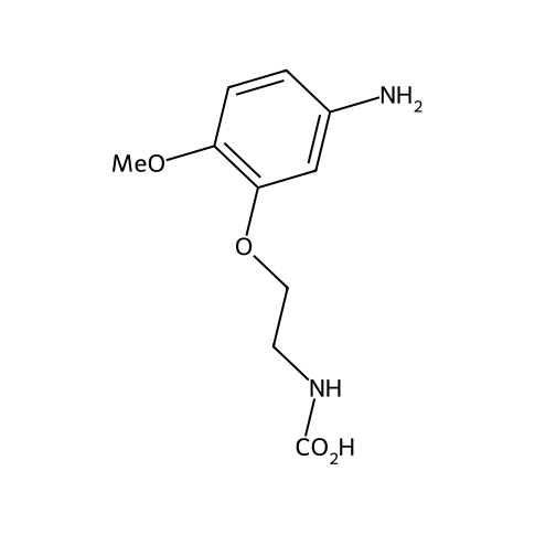 COc1ccc(N)cc1OCCNC(=O)O